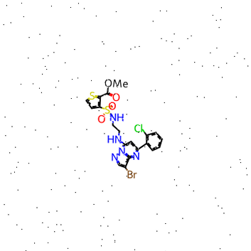 COC(=O)c1sccc1S(=O)(=O)NCCNc1cc(-c2ccccc2Cl)nc2c(Br)cnn12